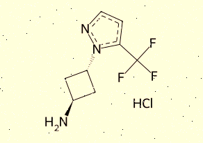 Cl.N[C@H]1C[C@H](n2nccc2C(F)(F)F)C1